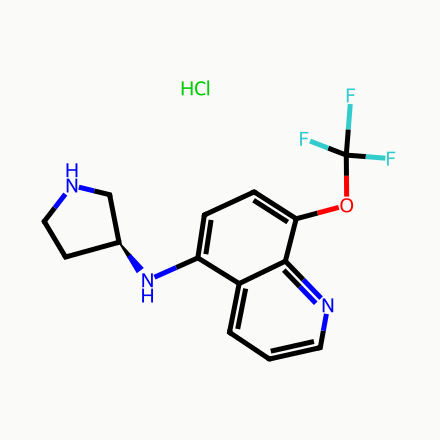 Cl.FC(F)(F)Oc1ccc(N[C@H]2CCNC2)c2cccnc12